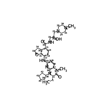 CCC1C(=O)N(C)c2cnc(Nc3ccc(C(=O)NC[C@@H](O)CN4CCN(C)CC4)c4c3OCC4)nc2N1C1CCCC1